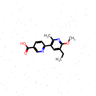 CCc1cc(-c2ccc(C(=O)O)cn2)c(C)nc1OC